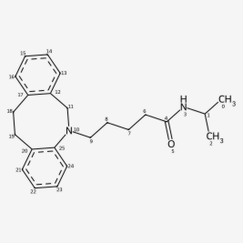 CC(C)NC(=O)CCCCN1Cc2ccccc2CCc2ccccc21